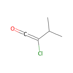 CC(C)C(Cl)=C=O